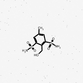 Cc1cc(S(N)(=O)=O)c(CO)c(S(N)(=O)=O)c1